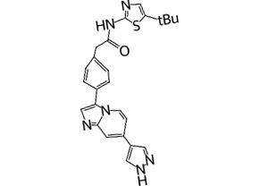 CC(C)(C)c1cnc(NC(=O)Cc2ccc(-c3cnc4cc(-c5cn[nH]c5)ccn34)cc2)s1